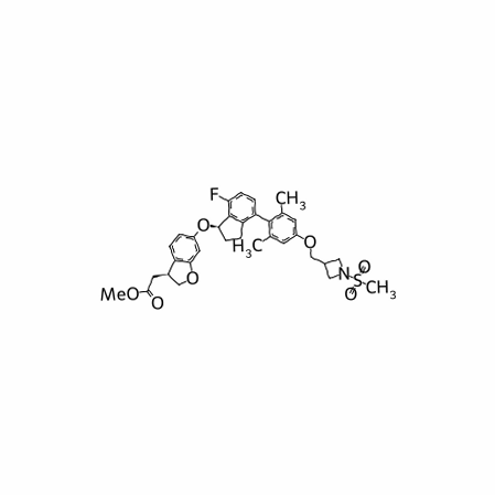 COC(=O)C[C@@H]1COc2cc(O[C@@H]3CCc4c(-c5c(C)cc(OCC6CN(S(C)(=O)=O)C6)cc5C)ccc(F)c43)ccc21